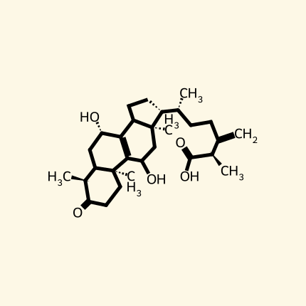 C=C(CC[C@@H](C)[C@H]1CCC2C3=C(C(O)C[C@@]21C)[C@@]1(C)CCC(=O)[C@@H](C)C1C[C@@H]3O)[C@@H](C)C(=O)O